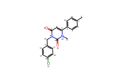 Cc1ccc(-c2cc(=O)n(Cc3ccc(Cl)cc3)c(=O)n2C)cc1